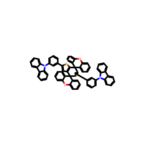 c1cc(-c2cc3c(s2)C2(c4ccccc4Oc4ccccc42)c2cc(-c4cccc(-n5c6ccccc6c6ccccc65)c4)sc2C32c3ccccc3Oc3ccccc32)cc(-n2c3ccccc3c3ccccc32)c1